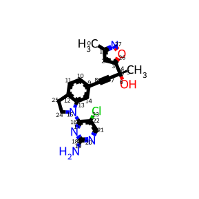 Cc1cc([C@](C)(O)C#Cc2ccc3c(c2)N(c2nc(N)ncc2Cl)CC3)on1